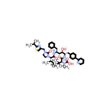 CCC(C)[C@@H](C(=O)N[C@@H](Cc1ccccc1)C[C@@H](O)[C@H](Cc1ccc(-c2ccccn2)cc1)NC(=O)[C@@H](N(C)C(=O)O)C(C)(C)C)N1CCN(Cc2csc(C(C)C)n2)C1=O